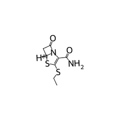 CCSC1=C(C(N)=O)N2C(=O)C[C@H]2S1